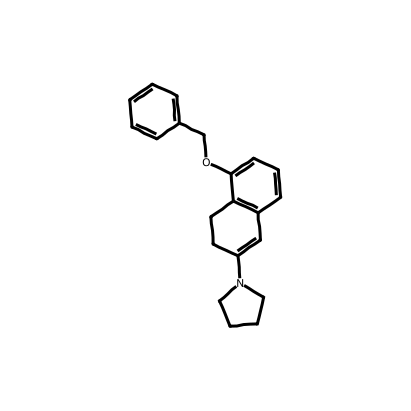 C1=C(N2CCCC2)CCc2c1cccc2OCc1ccccc1